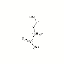 COC(=O)NCCO.Cl